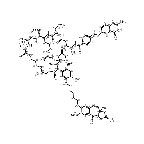 C=C1C[C@H]2C=Nc3cc(OCCCCCOc4cc5c(cc4OC)C(=O)N4CC(=C)C[C@H]4[C@H](O)N5C(=O)OC[C@@H](SSCCNC(=O)[C@H](CC(=O)O)NC(=O)[C@H](CC(=O)O)NC(=O)[C@H](CCCNC(=N)N)NC(=O)[C@H](CC(=O)O)NC(=O)CC[C@@H](C)NC(=O)c4ccc(NCc5cnc6nc(N)[nH]c(=O)c6n5)cc4)C(C)C)c(OC)cc3C(=O)N2C1